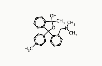 Cc1ccc(C2(c3ccccc3CN(C)C)OC(C)(O)c3ccccc32)cc1